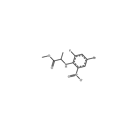 COC(=O)C(C)Nc1c(F)cc(Br)cc1[N+](=O)[O-]